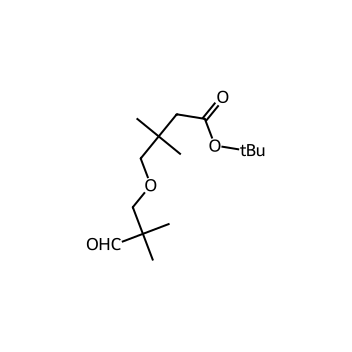 CC(C)(C=O)COCC(C)(C)CC(=O)OC(C)(C)C